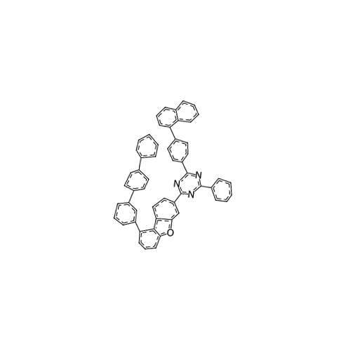 c1ccc(-c2ccc(-c3cccc(-c4cccc5oc6cc(-c7nc(-c8ccccc8)nc(-c8ccc(-c9cccc%10ccccc9%10)cc8)n7)ccc6c45)c3)cc2)cc1